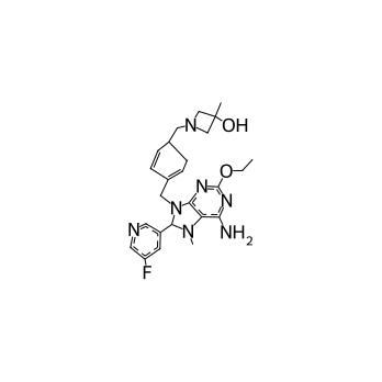 CCOc1nc(N)c2c(n1)N(CC1=CCC(CN3CC(C)(O)C3)C=C1)C(c1cncc(F)c1)N2C